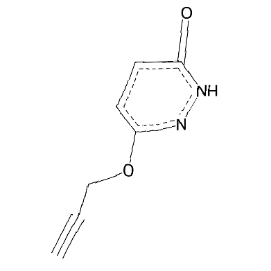 C#CCOc1ccc(=O)[nH]n1